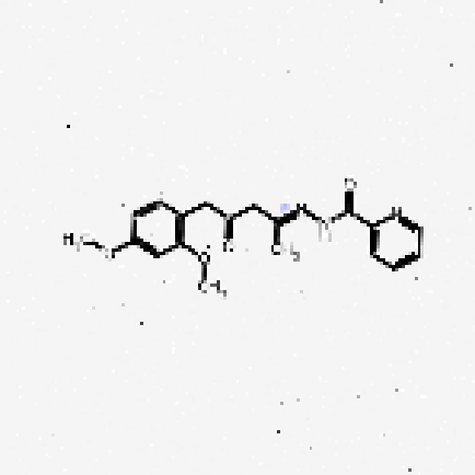 COc1ccc(CC(=O)C/C(C)=N/NC(=O)c2ccccn2)c(OC)c1